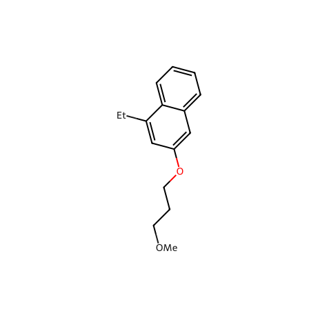 CCc1cc(OCCCOC)cc2ccccc12